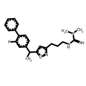 CC(c1ccc(-c2ccccc2)c(F)c1)c1cc(CCCNC(=N)N(C)C)no1